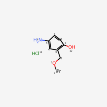 CC(C)OCc1cc(N)ccc1O.Cl